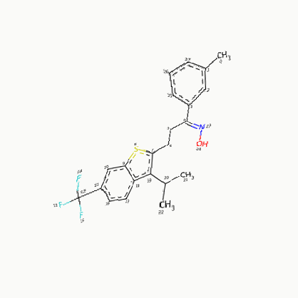 Cc1[c]c(C(CCc2sc3cc(C(F)(F)F)ccc3c2C(C)C)=NO)ccc1